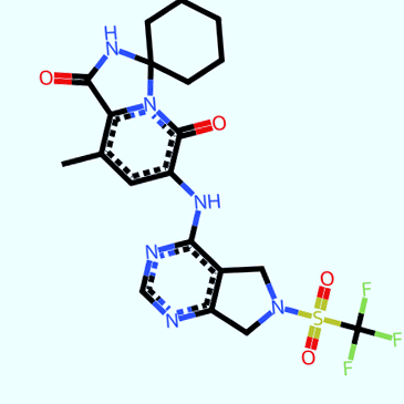 Cc1cc(Nc2ncnc3c2CN(S(=O)(=O)C(F)(F)F)C3)c(=O)n2c1C(=O)NC21CCCCC1